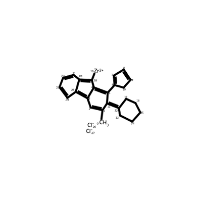 Cc1cc2c(c(C3=CC=CC3)c1=C1CCCCC1)[C]([Zr+2])=c1ccccc1=2.[Cl-].[Cl-]